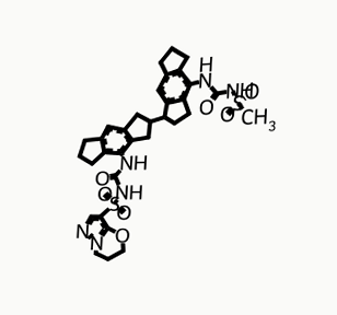 CS(=O)(=O)NC(=O)Nc1c2c(cc3c1CCC3C1Cc3cc4c(c(NC(=O)NS(=O)(=O)c5cnn6c5OCCC6)c3C1)CCC4)CCC2